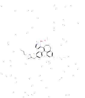 CC(C)(C)OC(=O)n1cccc1C1=C(c2ccc(CC3CN(CCCF)C3)cc2)c2ccc(C(=O)O)cc2CCC1